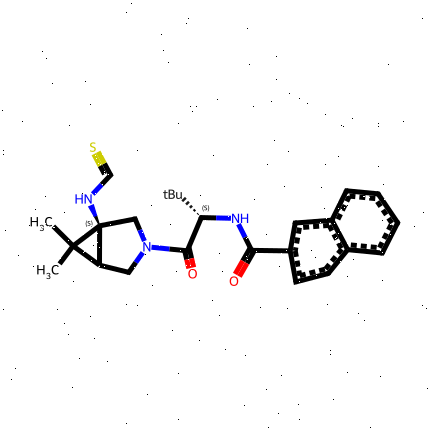 CC(C)(C)[C@H](NC(=O)c1ccc2ccccc2c1)C(=O)N1CC2C(C)(C)[C@]2(NC=S)C1